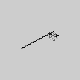 CCCCCCCCCCCCCCCCCCCCNCC(C)NCC(C)N